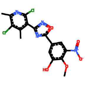 COc1c(O)cc(-c2nc(-c3c(Cl)nc(C)c(Cl)c3C)no2)cc1[N+](=O)[O-]